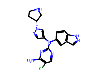 Nc1nc(N(c2ccc3[nH]ncc3c2)c2cnn([C@@H]3CCNC3)c2)ncc1Cl